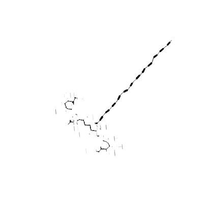 CC#CC#CC#CC#CC#CC#CC#CC#CC#CC#CC#CC#CC(=O)N[C@@H](CO[C@H]1OC(CO)[C@H](O)[C@H](O)C1O)[C@H](O)CC[C@@H](O)[C@H](CO[C@H]1OC(CO)[C@H](O)[C@H](C)C1O)NC(C)=O